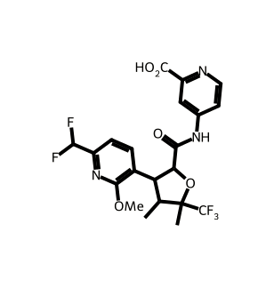 COc1nc(C(F)F)ccc1C1C(C(=O)Nc2ccnc(C(=O)O)c2)OC(C)(C(F)(F)F)C1C